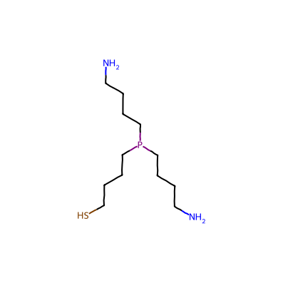 NCCCCP(CCCCN)CCCCS